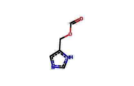 O=[C]OCc1cnc[nH]1